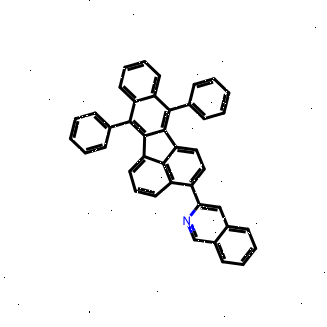 c1ccc(-c2c3c(c(-c4ccccc4)c4ccccc24)-c2ccc(-c4cc5ccccc5cn4)c4cccc-3c24)cc1